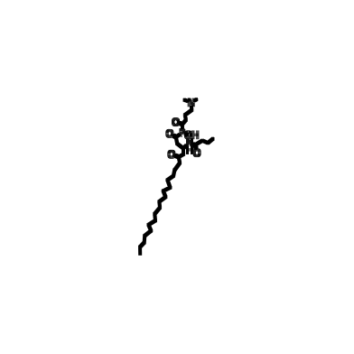 CCCCCCCCCCCCCCCCCC(=O)CC(CC(=O)P(O)C(=O)CCCN(C)C)NC(=O)CCC